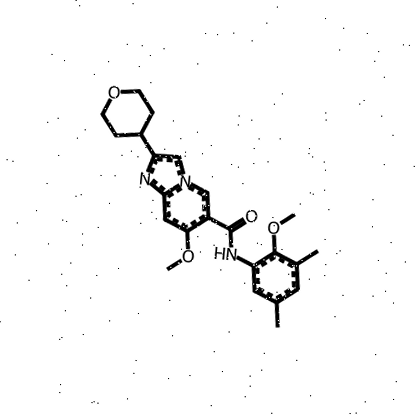 COc1cc2nc(C3CCOCC3)cn2cc1C(=O)Nc1cc(C)cc(C)c1OC